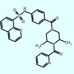 CC1CN(C(=O)c2ccc(NS(=O)(=O)c3cccc4cccnc34)cc2)CC(C)N1C(=O)c1ccccn1